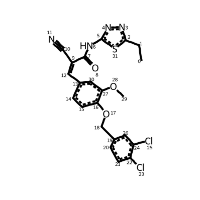 CCc1nnc(NC(=O)C(C#N)=Cc2ccc(OCc3ccc(Cl)c(Cl)c3)c(OC)c2)s1